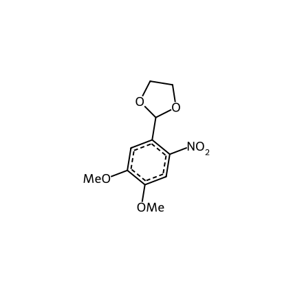 COc1cc(C2OCCO2)c([N+](=O)[O-])cc1OC